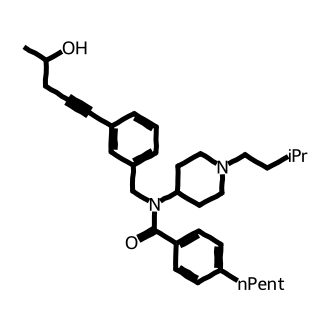 CCCCCc1ccc(C(=O)N(Cc2cccc(C#CCC(C)O)c2)C2CCN(CCC(C)C)CC2)cc1